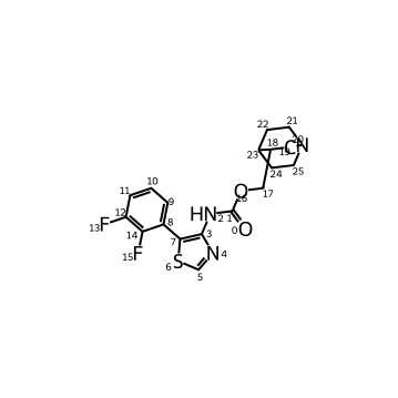 O=C(Nc1ncsc1-c1cccc(F)c1F)OCC1CN2CCC1CC2